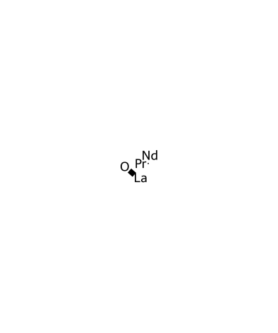 [Nd].[O]=[La].[Pr]